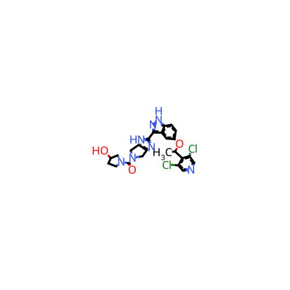 CC(Oc1ccc2[nH]nc(-c3nc4c([nH]3)CN(C(=O)N3CCC(O)C3)C4)c2c1)c1c(Cl)cncc1Cl